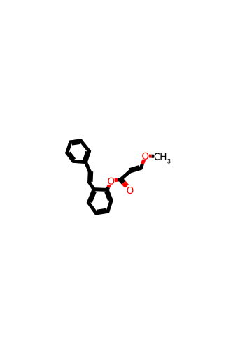 COC=CC(=O)Oc1ccccc1C=Cc1ccccc1